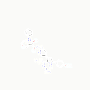 N=C/N=C(/N)c1[nH]c(C2CCC(O)CC2)cc1-c1ccc(NC(=O)c2c3n(n(-c4ccccc4)c2=O)CCOC3)nc1